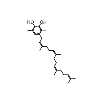 CC(C)=CCCC(C)=CCCC(C)=CCCC(C)=CCc1cc(C)c(O)c(O)c1C